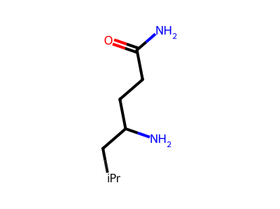 CC(C)CC(N)CCC(N)=O